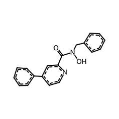 O=C(c1cc(-c2ccccc2)ccn1)N(O)Cc1ccccc1